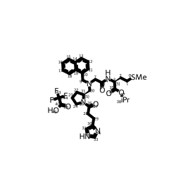 CSCC[C@H](NC(=O)CN(Cc1cccc2ccccc12)C[C@@H]1CCCN1C(=O)CCc1c[nH]cn1)C(=O)OC(C)C.O=C(O)C(F)(F)F